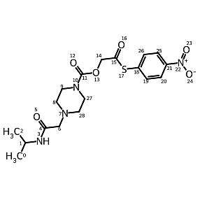 CC(C)NC(=O)CN1CCN(C(=O)OCC(=O)Sc2ccc([N+](=O)[O-])cc2)CC1